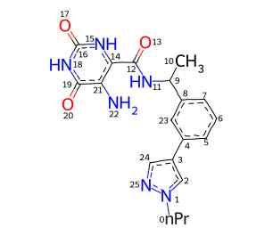 CCCn1cc(-c2cccc(C(C)NC(=O)c3[nH]c(=O)[nH]c(=O)c3N)c2)cn1